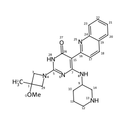 COC1(C)CN(c2nc(NC3CCCNC3)c(-c3ccc4ccccc4n3)c(=O)[nH]2)C1